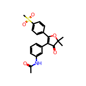 CC(=O)Nc1cccc(C2=C(c3ccc(S(C)(=O)=O)cc3)OC(C)(C)C2=O)c1